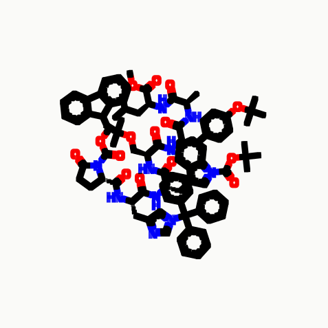 COC(=O)[C@H](CC(C)C)NC(=O)[C@@H](C)NC(=O)[C@H](Cc1ccc(OC(C)(C)C)cc1)NC(=O)[C@H](COC(C)(C)C)NC(=O)[C@H](Cc1cn(C(=O)OC(C)(C)C)c2ccccc12)NC(=O)[C@H](Cc1cn(C(c2ccccc2)(c2ccccc2)c2ccccc2)cn1)NC(=O)[C@@H]1CCC(=O)N1C(=O)OCC1c2ccccc2-c2ccccc21